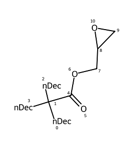 CCCCCCCCCCC(CCCCCCCCCC)(CCCCCCCCCC)C(=O)OCC1CO1